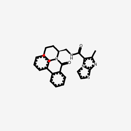 Cc1nc2sccn2c1C(=O)NC[C@@H]1CCCCN1C(=O)c1ccccc1-c1ccccc1